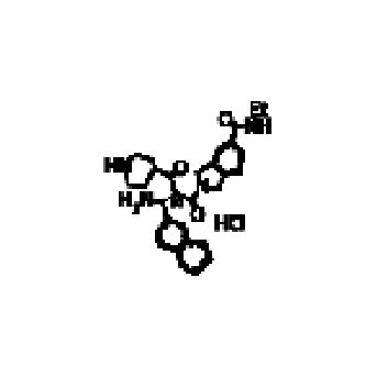 CCNC(=O)c1ccc2c(c1)CN(C(=O)[C@@H](C(=O)C1CCNCC1)C(N)c1ccc3ccccc3c1)C2.Cl